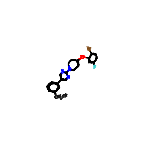 CCOC(=O)c1cccc(-c2cnc(N3CCC(Oc4cc(F)ccc4Br)CC3)nc2)c1